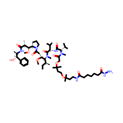 CC[C@H](C)[C@@H]([C@@H](CC(=O)N1CCC[C@H]1[C@H](OC)[C@@H](C)C(=O)N[C@H](C)[C@@H](O)c1ccccc1)OC)N(C)C(=O)[C@@H](NC(=O)[C@H](C(C)C)N(C)C(=O)COC(C)(C)CCOC(C)(C)CCNC(=O)CCCCCC(=O)NN)C(C)C